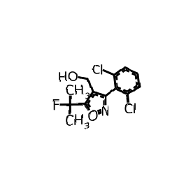 CC(C)(F)c1onc(-c2c(Cl)cccc2Cl)c1CO